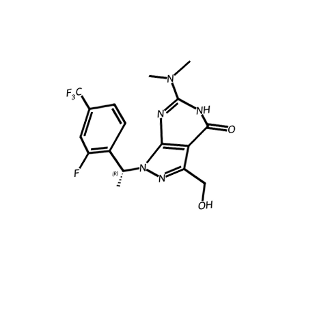 C[C@H](c1ccc(C(F)(F)F)cc1F)n1nc(CO)c2c(=O)[nH]c(N(C)C)nc21